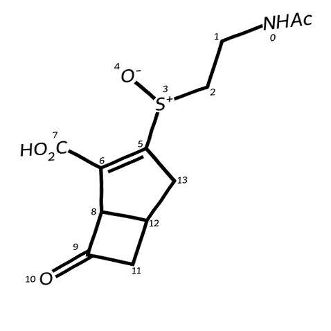 CC(=O)NCC[S+]([O-])C1=C(C(=O)O)C2C(=O)CC2C1